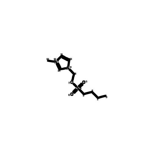 CCCCS(=O)(=O)OCn1cc[n+](C)c1